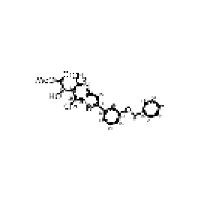 COC(=O)C(O)c1c(C)nc2cc(-c3cccc(OCc4ccccc4)c3)nn2c1Cl